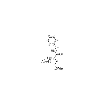 CSCCC(N[Se]C(C)=O)C(=O)NCc1ccccc1